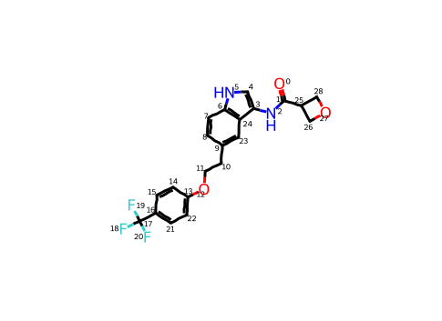 O=C(Nc1c[nH]c2ccc(CCOc3ccc(C(F)(F)F)cc3)cc12)C1COC1